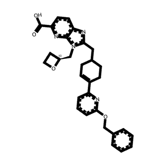 O=C(O)c1ccc2nc(CC3CC=C(c4cccc(OCc5ccccc5)n4)CC3)n(C[C@@H]3CCO3)c2n1